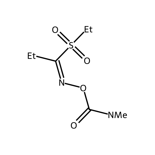 CCC(=NOC(=O)NC)S(=O)(=O)CC